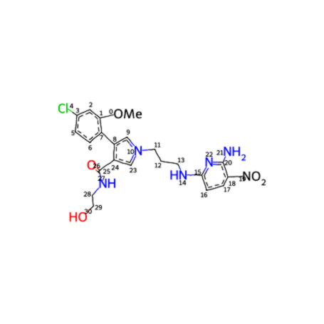 COc1cc(Cl)ccc1-c1cn(CCCNc2ccc([N+](=O)[O-])c(N)n2)cc1C(=O)NCCO